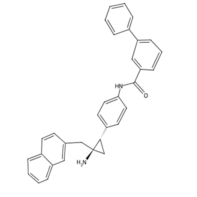 N[C@]1(Cc2ccc3ccccc3c2)C[C@H]1c1ccc(NC(=O)c2cccc(-c3ccccc3)c2)cc1